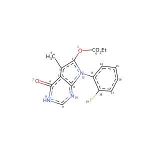 CCOC(=O)Oc1c(C)c2c(=O)[nH]cnc2n1-c1ccccc1F